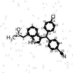 C[S+]([O-])Cc1cccc2c(C(c3ccc(Cl)cc3)c3ccc(C#N)cc3)c[nH]c12